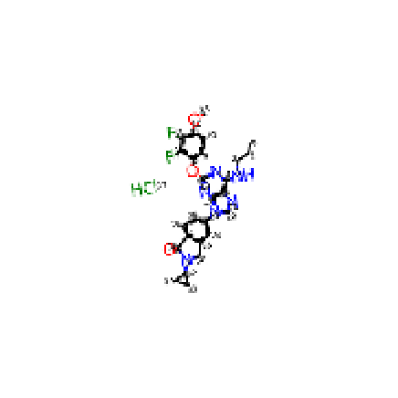 CCCNc1nc(Oc2ccc(OC)c(F)c2F)nc2c1ncn2-c1ccc2c(c1)CN(C1CC1)C2=O.Cl